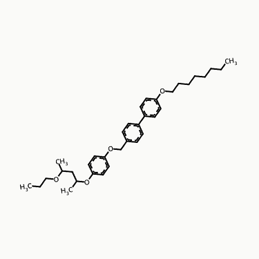 CCCCCCCCOc1ccc(-c2ccc(COc3ccc(OC(C)CC(C)OCCC)cc3)cc2)cc1